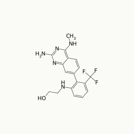 CNc1nc(N)nc2cc(-c3c(NCCO)cccc3C(F)(F)F)ccc12